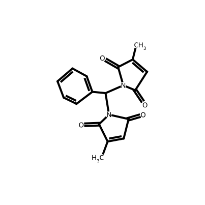 CC1=CC(=O)N(C(c2ccccc2)N2C(=O)C=C(C)C2=O)C1=O